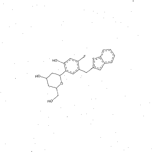 OCC1CC(O)CC(c2cc(Cc3cc4ccccc4s3)c(F)cc2O)O1